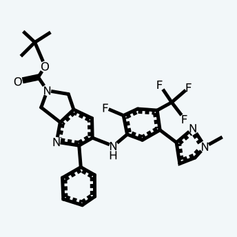 Cn1ccc(-c2cc(Nc3cc4c(nc3-c3ccccc3)CN(C(=O)OC(C)(C)C)C4)c(F)cc2C(F)(F)F)n1